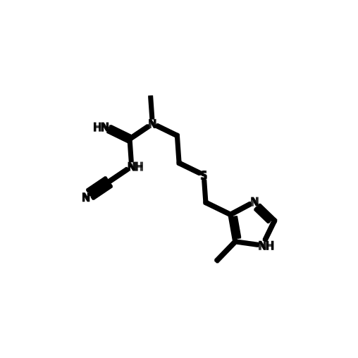 Cc1[nH]cnc1CSCCN(C)C(=N)NC#N